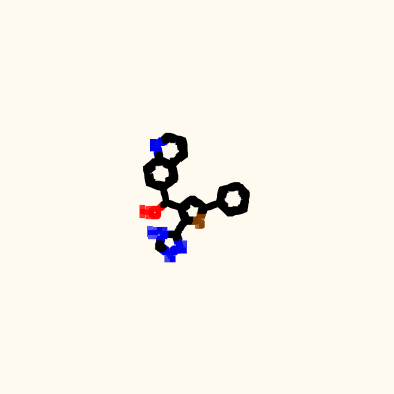 OC(c1ccc2ncccc2c1)c1cc(-c2ccccc2)sc1-c1nnc[nH]1